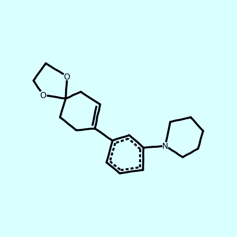 C1=C(c2cccc(N3CCCCC3)c2)CCC2(C1)OCCO2